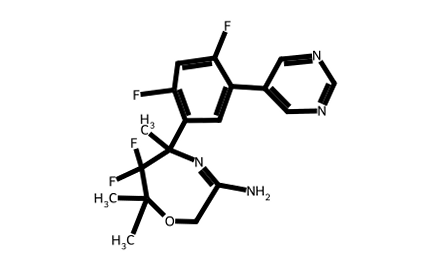 CC1(C)OCC(N)=NC(C)(c2cc(-c3cncnc3)c(F)cc2F)C1(F)F